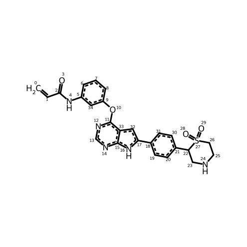 C=CC(=O)Nc1cccc(Oc2ncnc3[nH]c(-c4ccc(C5CNCCS5(=O)=O)cc4)cc23)c1